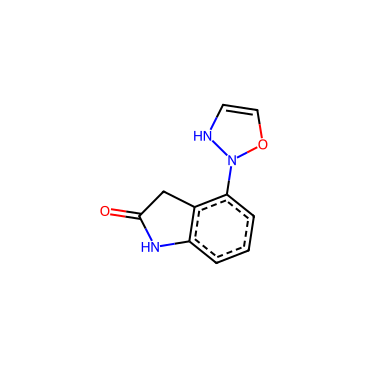 O=C1Cc2c(cccc2N2NC=CO2)N1